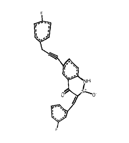 O=C1/C(=C\c2cccc(F)c2)[S+]([O-])Nc2ccc(C#CCc3ccc(F)cc3)cc21